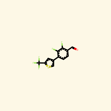 O=Cc1ccc(-c2csc(C(F)(F)F)c2)c(F)c1F